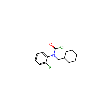 O=C(Cl)N(CC1CCCCC1)c1ccccc1F